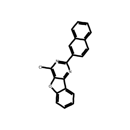 Clc1nc(-c2ccc3ccccc3c2)nc2c1oc1ccccc12